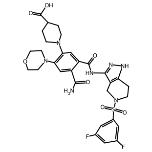 NC(=O)c1cc(N2CCOCC2)c(N2CCC(C(=O)O)CC2)cc1C(=O)Nc1n[nH]c2c1CN(S(=O)(=O)c1cc(F)cc(F)c1)CC2